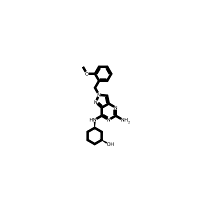 COc1ccccc1Cn1cc2nc(N)nc(N[C@@H]3CCC[C@H](O)C3)c2n1